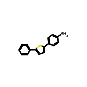 Bc1ccc(-c2ccc(-c3ccccc3)s2)cc1